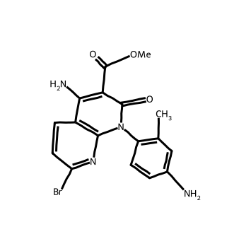 COC(=O)c1c(N)c2ccc(Br)nc2n(-c2ccc(N)cc2C)c1=O